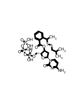 CC(C)CSSC(C)c1ccccc1C(=O)OC1C[C@H](n2ccc(N)nc2=O)O[C@@H]1COP(=O)(O)OP(=O)(O)OP(=O)(O)O